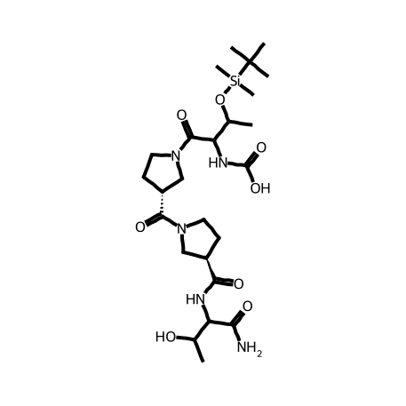 CC(O)C(NC(=O)[C@@H]1CCN(C(=O)[C@@H]2CCN(C(=O)C(NC(=O)O)C(C)O[Si](C)(C)C(C)(C)C)C2)C1)C(N)=O